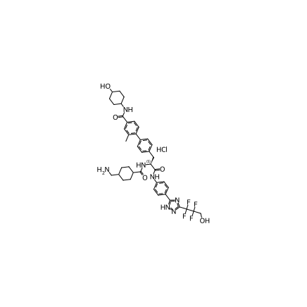 Cc1cc(C(=O)NC2CCC(O)CC2)ccc1-c1ccc(C[C@H](NC(=O)C2CCC(CN)CC2)C(=O)Nc2ccc(-c3nc(C(F)(F)C(F)(F)CO)n[nH]3)cc2)cc1.Cl